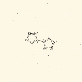 c1cc(-c2csnn2)ns1